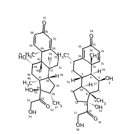 C[C@H]1C[C@@H]2[C@H]([C@@H](O)C[C@@]3(C)[C@H]2CC[C@]3(O)C(=O)CO)[C@@]2(C)C=CC(=O)C=C12.C[C@H]1C[C@H]2[C@@H]3CCC4=CC(=O)C=C[C@]4(C)[C@@]3(F)[C@@H](O)C[C@]2(C)[C@@]1(O)C(=O)CO